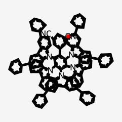 N#Cc1cc(C#N)cc(-c2c(-n3c4ccc(-c5ccccc5)cc4c4cc(-c5ccccc5)ccc43)c(-n3c4ccccc4c4ccccc43)c(-n3c4ccc(-c5ccccc5)cc4c4cc(-c5ccccc5)ccc43)c(-n3c4ccccc4c4ccccc43)c2-n2c3ccc(-c4ccccc4)cc3c3cc(-c4ccccc4)ccc32)c1